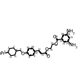 CCCC1CCC(COc2ccc(C=CC(=O)OCCOC(=O)c3cc(N)cc(N)c3)cc2)CC1